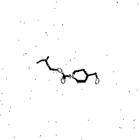 CC(C)COC(=O)N1CCC(C[O])CC1